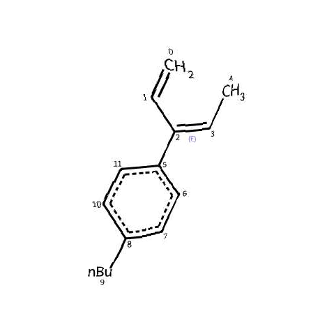 C=C/C(=C\C)c1ccc(CCCC)cc1